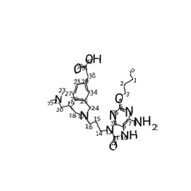 CCCCOc1nc(N)c2[nH]c(=O)n(CCCN(CCCN(C)C)Cc3cccc(CC(=O)O)c3)c2n1